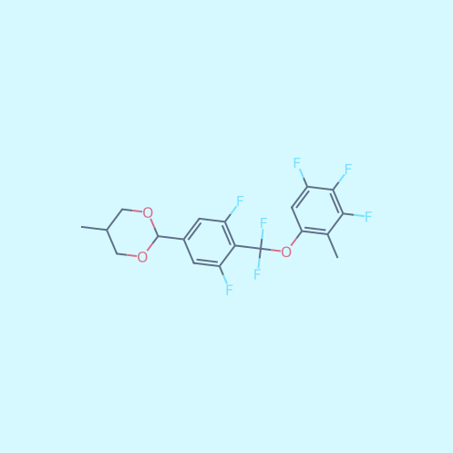 Cc1c(OC(F)(F)c2c(F)cc(C3OCC(C)CO3)cc2F)cc(F)c(F)c1F